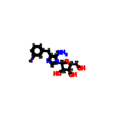 Nc1c([CH]c2cccc(I)c2)ncn1[C@@H]1O[C@H](CO)[C@@H](O)[C@H]1O